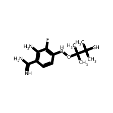 CC(C)(S)C(C)(C)OBc1ccc(C(=N)N)c(N)c1F